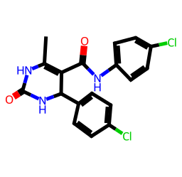 CC1=C(C(=O)Nc2ccc(Cl)cc2)C(c2ccc(Cl)cc2)NC(=O)N1